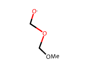 COCOC[O]